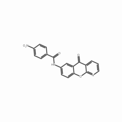 O=C(Nc1ccc2oc3ncccc3c(=O)c2c1)c1ccc([N+](=O)[O-])cc1